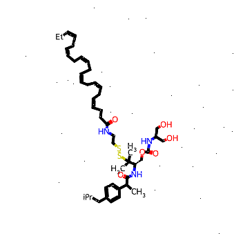 CC/C=C\C/C=C\C/C=C\C/C=C\C/C=C\C/C=C\CCC(=O)NCCSSC(C)(C)[C@@H](COC(=O)NC(CO)CO)NC(=O)C(C)c1ccc(CC(C)C)cc1